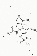 C=CCC1[C@H]2C(CNC2C)CC1(NC(C)=O)C(=O)NC(C)(C)C